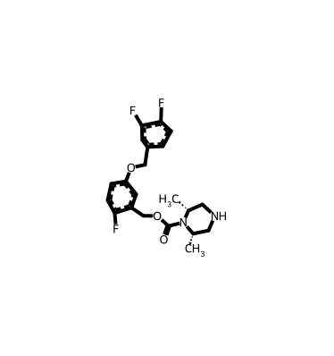 C[C@@H]1CNC[C@H](C)N1C(=O)OCc1cc(OCc2ccc(F)c(F)c2)ccc1F